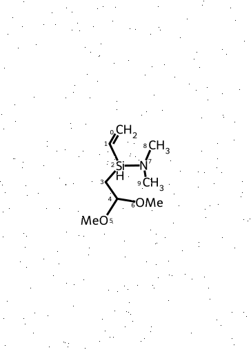 C=C[SiH](CC(OC)OC)N(C)C